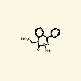 CCOC(=O)CN1C(=O)[C@H](N)N=C(c2ccccc2)c2ccccc21